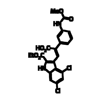 CCOC(=O)c1[nH]c2cc(Cl)cc(Cl)c2c1C=C(C(=O)O)c1cccc(NC(=O)OC)c1